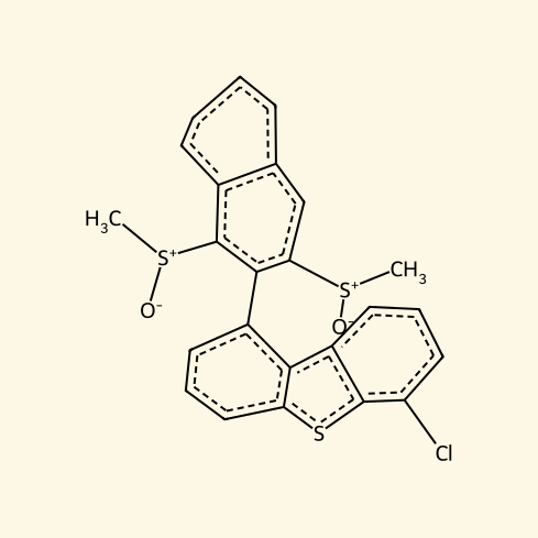 C[S+]([O-])c1cc2ccccc2c([S+](C)[O-])c1-c1cccc2sc3c(Cl)cccc3c12